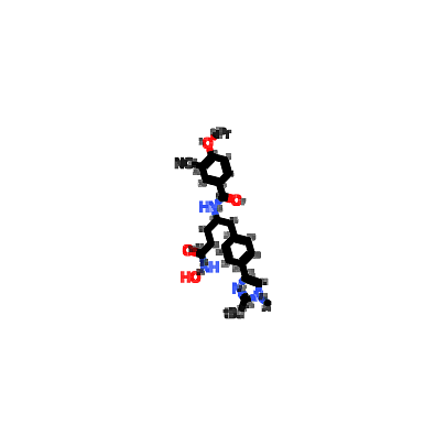 CC(C)Oc1ccc(C(=O)NC(CCC(=O)NO)Cc2ccc(-c3cn(C)c(C(C)(C)C)n3)cc2)cc1C#N